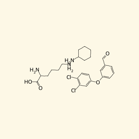 NC1CCCCC1.NCCCCC(N)C(=O)O.O=Cc1cccc(Oc2ccc(Cl)c(Cl)c2)c1